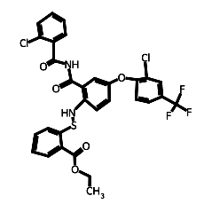 CCOC(=O)c1ccccc1SNc1ccc(Oc2ccc(C(F)(F)F)cc2Cl)cc1C(=O)NC(=O)c1ccccc1Cl